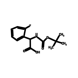 CC(C)(C)OC(=O)NC(C(=O)O)c1ccccc1F